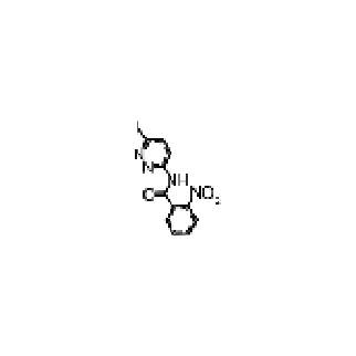 O=C(Nc1ccc(I)nn1)c1ccccc1[N+](=O)[O-]